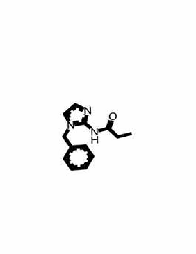 CCC(=O)Nc1nccn1Cc1ccccc1